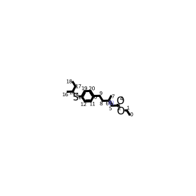 CCOC(=O)/C=C(\C)CCc1ccc(SC(C)CC)cc1